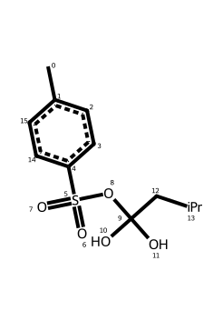 Cc1ccc(S(=O)(=O)OC(O)(O)CC(C)C)cc1